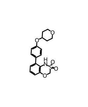 O=S1(=O)COc2cccc(-c3ccc(OC4CCOCC4)cc3)c2N1